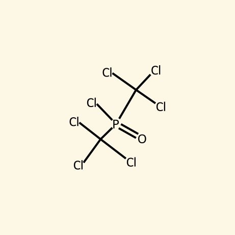 O=P(Cl)(C(Cl)(Cl)Cl)C(Cl)(Cl)Cl